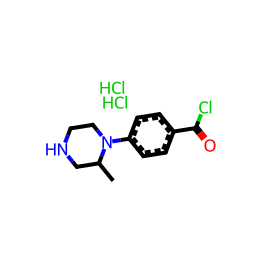 CC1CNCCN1c1ccc(C(=O)Cl)cc1.Cl.Cl